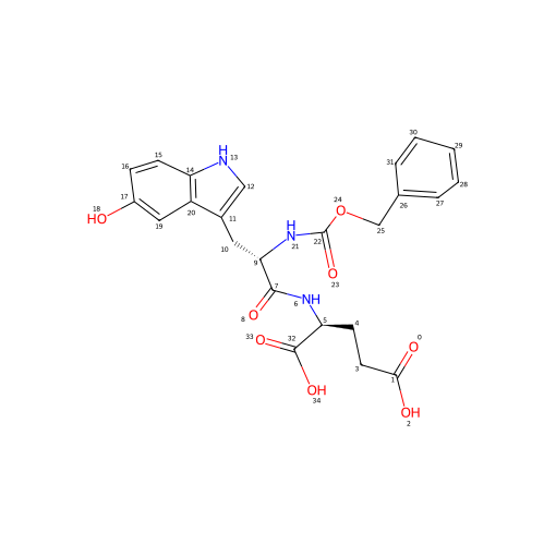 O=C(O)CC[C@H](NC(=O)[C@H](Cc1c[nH]c2ccc(O)cc12)NC(=O)OCc1ccccc1)C(=O)O